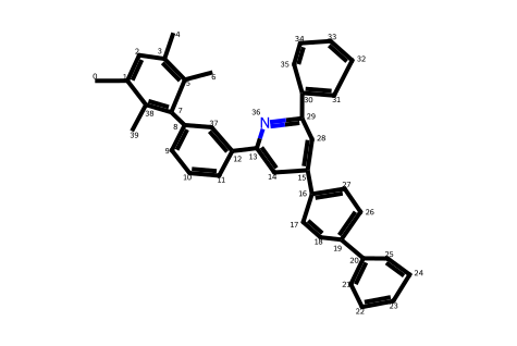 Cc1cc(C)c(C)c(-c2cccc(-c3cc(-c4ccc(-c5ccccc5)cc4)cc(-c4ccccc4)n3)c2)c1C